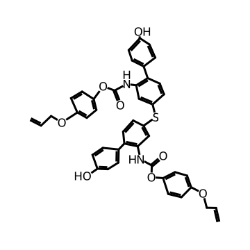 C=CCOc1ccc(OC(=O)Nc2cc(Sc3ccc(-c4ccc(O)cc4)c(NC(=O)Oc4ccc(OCC=C)cc4)c3)ccc2-c2ccc(O)cc2)cc1